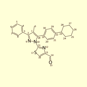 Cc1c(-c2ccccc2)nn(-c2nc(C=O)cs2)c1-c1ccc(C2CCCCC2)cc1